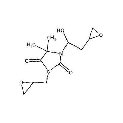 CC1(C)C(=O)N(CC2CO2)C(=O)N1C(O)CC1CO1